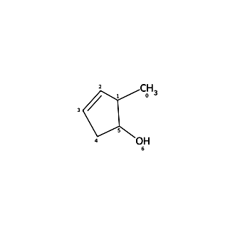 CC1C=CCC1O